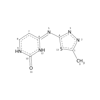 Cc1nnc(N=c2cc[nH]c(=O)[nH]2)s1